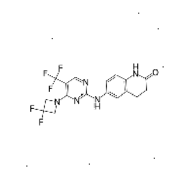 O=C1CCc2cc(Nc3ncc(C(F)(F)F)c(N4CC(F)(F)C4)n3)ccc2N1